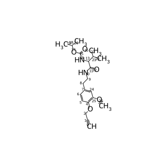 C#CCOc1ccc(CCNC(=O)C(NC(=O)OC(C)C)C(C)C)cc1OC